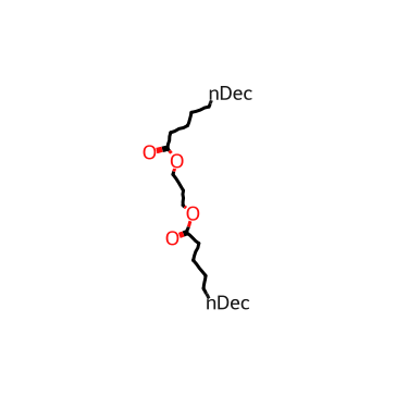 CCCCCCCCCCCCCCC(=O)OCCCOC(=O)CCCCCCCCCCCCCC